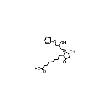 O=C(O)CCCCC=CCC1C(=O)CC(O)C1OCC(O)COc1ccccc1